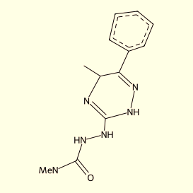 CNC(=O)NNC1=NC(C)C(c2ccccc2)=NN1